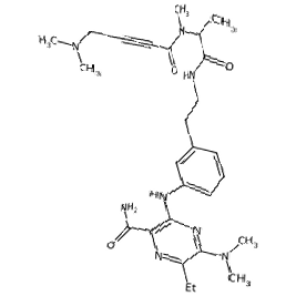 CCc1nc(C(N)=O)c(Nc2cccc(CCNC(=O)C(C)N(C)C(=O)C#CCN(C)C)c2)nc1N(C)C